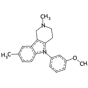 COc1cccc(-n2c3c(c4cc(C)ccc42)CN(C)CC3)c1